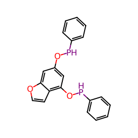 c1ccc(POc2cc(OPc3ccccc3)c3ccoc3c2)cc1